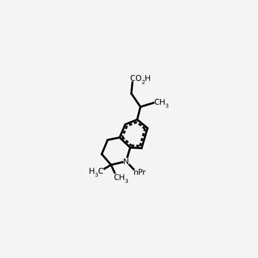 CCCN1c2ccc(C(C)CC(=O)O)cc2CCC1(C)C